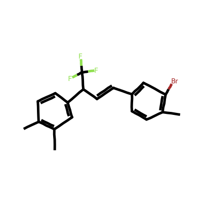 Cc1ccc(C(/C=C/c2ccc(C)c(Br)c2)C(F)(F)F)cc1C